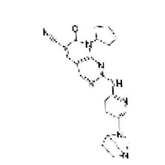 N#Cc1cc2cnc(Nc3ccc(N4CCN5CCC4CC5)cn3)nc2n(C2CCCC2)c1=O